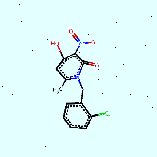 Cc1cc(O)c([N+](=O)[O-])c(=O)n1Cc1ccccc1Cl